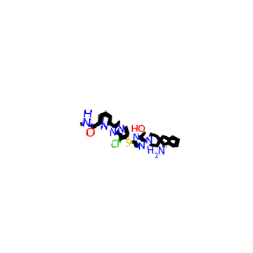 CNC(=O)c1cccc(-c2cn3ccc(Sc4cnc(N5CCC6(CC5)Cc5ccccc5[C@H]6N)c(CO)n4)c(Cl)c3n2)n1